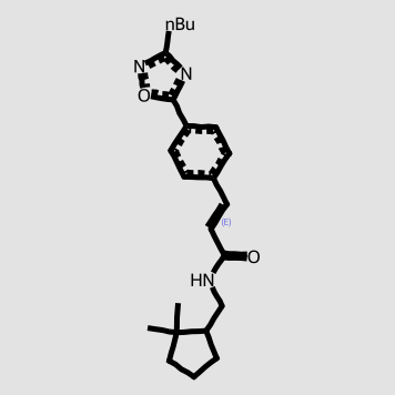 CCCCc1noc(-c2ccc(/C=C/C(=O)NCC3CCCC3(C)C)cc2)n1